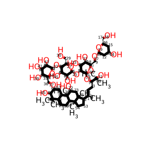 C[C@H](CC[C@@H](O[C@@H]1O[C@H](CO[C@@H]2C[C@@H](O)C[C@@H](CO)O2)[C@@H](O)[C@H](O)[C@H]1O[C@H]1O[C@@H](CO)[C@H](O[C@@H]2O[C@@H](CO)[C@H](O)[C@@H](O)[C@@H]2O)[C@@H](O)[C@@H]1O)C(C)(C)O)C1CC[C@@]2(C)C3CC=C4C(CC[C@H](O)C4(C)C)[C@]3(C)[C@H](O)C[C@]12C